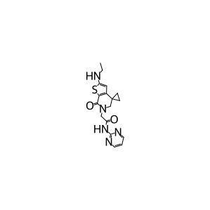 CCNc1cc2c(s1)C(=O)N(CC(=O)Nc1ncccn1)CC21CC1